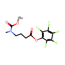 CN(CCCC(=O)Oc1c(F)c(F)c(F)c(F)c1F)C(=O)OC(C)(C)C